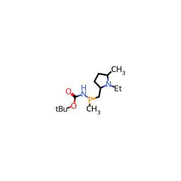 CCN1C(C)CCC1CP(C)NC(=O)OC(C)(C)C